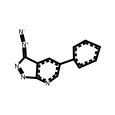 [N-]=[N+]=C1N=Nc2ncc(-c3ccccc3)cc21